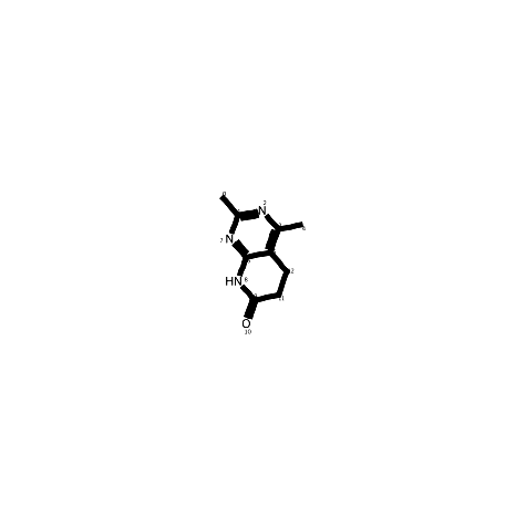 Cc1nc(C)c2c(n1)NC(=O)CC2